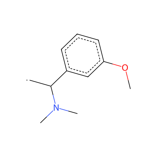 [CH2]C(c1cccc(OC)c1)N(C)C